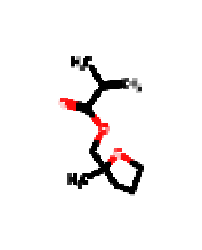 C=C(C)C(=O)OCC1(C)CCCO1